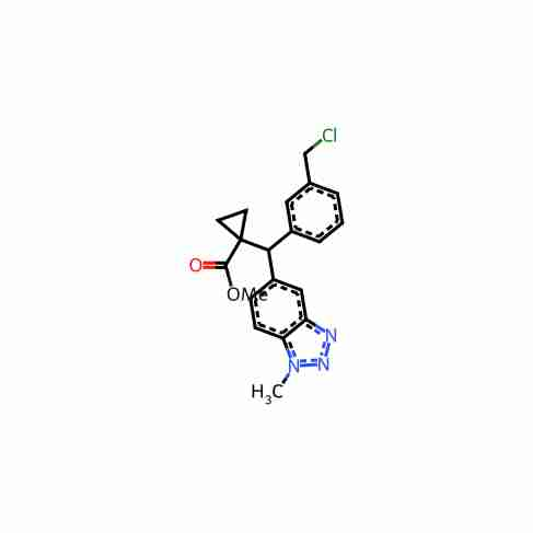 COC(=O)C1(C(c2cccc(CCl)c2)c2ccc3c(c2)nnn3C)CC1